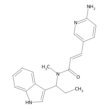 CCC(c1c[nH]c2ccccc12)N(C)C(=O)/C=C/c1ccc(N)nc1